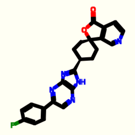 O=C1O[C@]2(CC[C@H](c3nc4nc(-c5ccc(F)cc5)cnc4[nH]3)CC2)c2cnccc21